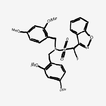 COc1ccc(CN(Cc2ccc(OC)cc2OC)S(=O)(=O)C(F)c2noc3ccccc23)c(OC)c1